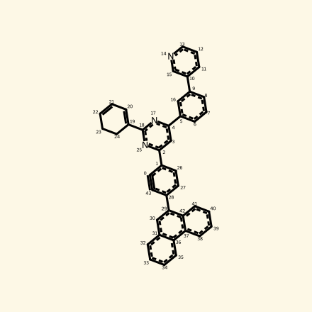 c1c(-c2cc(-c3cccc(-c4cccnc4)c3)nc(C3=CC=CCC3)n2)ccc(-c2cc3ccccc3c3ccccc23)c#1